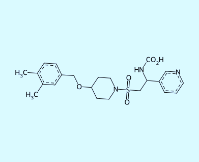 Cc1ccc(COC2CCN(S(=O)(=O)CC(NC(=O)O)c3cccnc3)CC2)cc1C